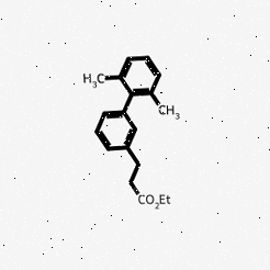 CCOC(=O)CCc1cccc(-c2c(C)cccc2C)c1